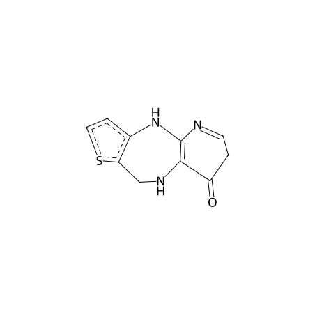 O=C1CC=NC2=C1NCc1sccc1N2